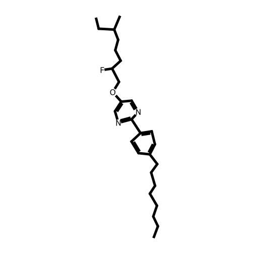 CCCCCCCCc1ccc(-c2ncc(OCC(F)CCCC(C)CC)cn2)cc1